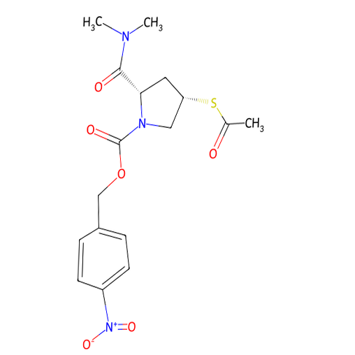 CC(=O)S[C@H]1C[C@@H](C(=O)N(C)C)N(C(=O)OCc2ccc([N+](=O)[O-])cc2)C1